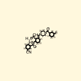 CN(C)c1c(CN2CCN(C(=O)c3cccc(F)c3)CC2)cccc1NC(=O)c1cccc(C#N)c1